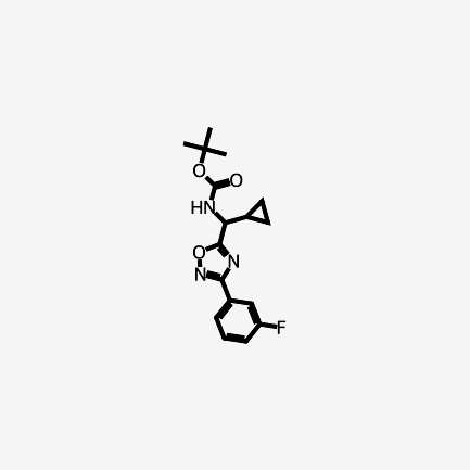 CC(C)(C)OC(=O)NC(c1nc(-c2cccc(F)c2)no1)C1CC1